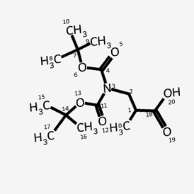 CC(CN(C(=O)OC(C)(C)C)C(=O)OC(C)(C)C)C(=O)O